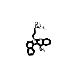 CN(C)CCCn1c2ccc3ccccc3c2c2c(N)c3c(nc21)CCCC3